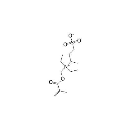 C=C(C)C(=O)OC[N+](CC)(CC)C(C)CCS(=O)(=O)[O-]